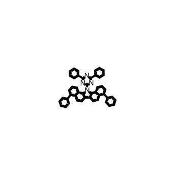 c1ccc(-c2nc(-c3ccccc3)nc(-n3c4c5cccc(-c6ccccc6)c5ccc4c4ccc5c(-c6ccccc6)cccc5c43)n2)cc1